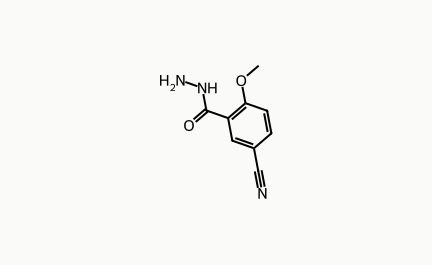 COc1ccc(C#N)cc1C(=O)NN